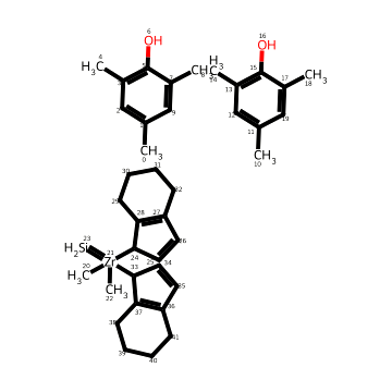 Cc1cc(C)c(O)c(C)c1.Cc1cc(C)c(O)c(C)c1.[CH3][Zr]([CH3])(=[SiH2])([CH]1C=CC2=C1CCCC2)[CH]1C=CC2=C1CCCC2